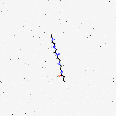 CCCC(=O)NCCNCCNCCNCCNCC